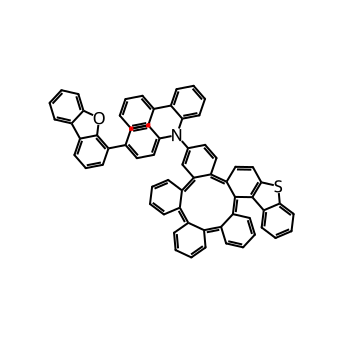 c1ccc(-c2ccccc2N(c2ccc(-c3cccc4c3oc3ccccc34)cc2)c2ccc3c(c2)c2ccccc2c2ccccc2c2ccccc2c2c3ccc3sc4ccccc4c32)cc1